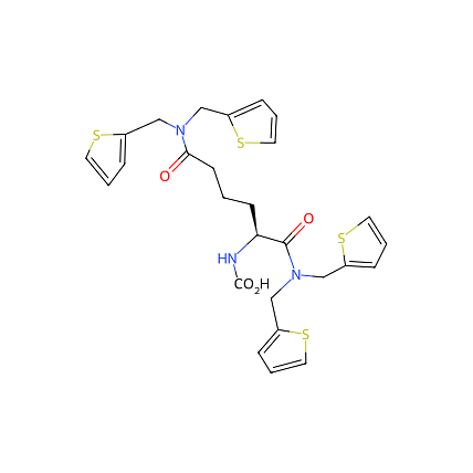 O=C(O)N[C@@H](CCCC(=O)N(Cc1cccs1)Cc1cccs1)C(=O)N(Cc1cccs1)Cc1cccs1